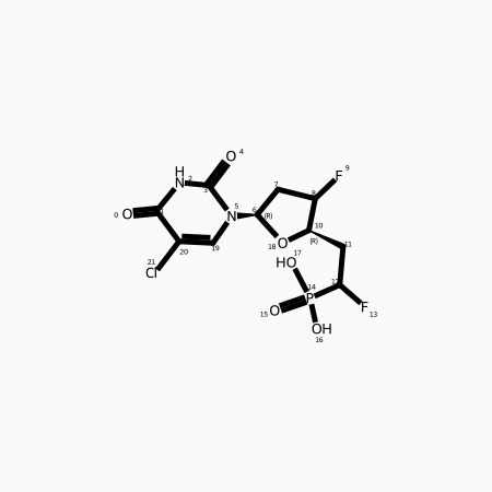 O=c1[nH]c(=O)n([C@H]2CC(F)[C@@H](CC(F)P(=O)(O)O)O2)cc1Cl